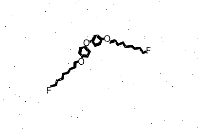 FCCCCCCCC=COc1ccc(Oc2ccc(OC=CCCCCCCCF)cc2)cc1